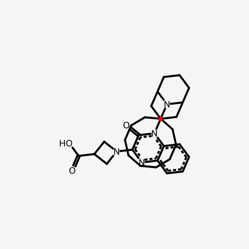 O=C(O)C1CN(c2nc3ccccc3n(C3CC4CCCC(C3)N4C3CCCCCCCCC3)c2=O)C1